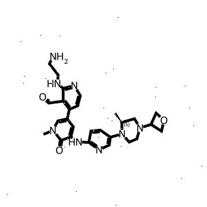 C[C@H]1CN(C2COC2)CCN1c1ccc(Nc2cc(-c3ccnc(NCCN)c3C=O)cn(C)c2=O)nc1